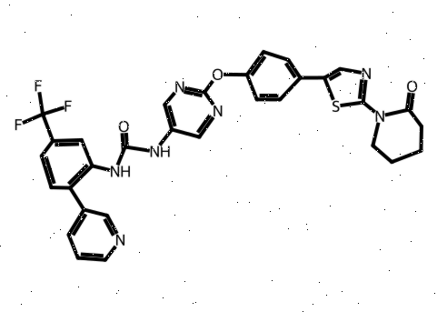 O=C(Nc1cnc(Oc2ccc(-c3cnc(N4CCCCC4=O)s3)cc2)nc1)Nc1cc(C(F)(F)F)ccc1-c1cccnc1